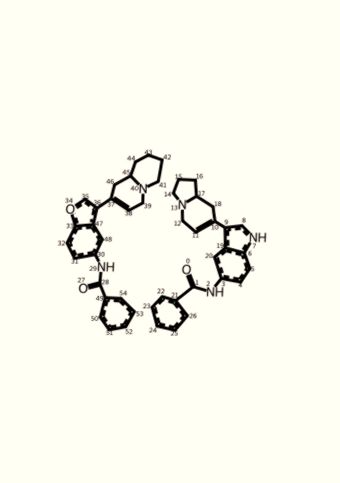 O=C(Nc1ccc2[nH]cc(C3=CCN4CCCC4C3)c2c1)c1ccccc1.O=C(Nc1ccc2occ(C3=CCN4CCCCC4C3)c2c1)c1ccccc1